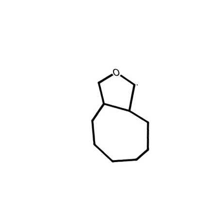 [CH]1OCC2CCCCCCC12